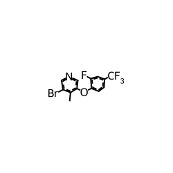 Cc1c(Br)cncc1Oc1ccc(C(F)(F)F)cc1F